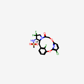 CS(=O)(=O)N[C@@H]1[C@@H]2Cc3cccc(c3F)Oc3nc(ccc3Cl)OCC(=O)N2CC1(F)F